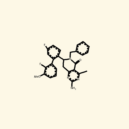 COc1cccc(-c2cc(F)ccc2C2Cc3nc(N)nc(C)c3C(=O)N2Cc2ccccc2)c1F